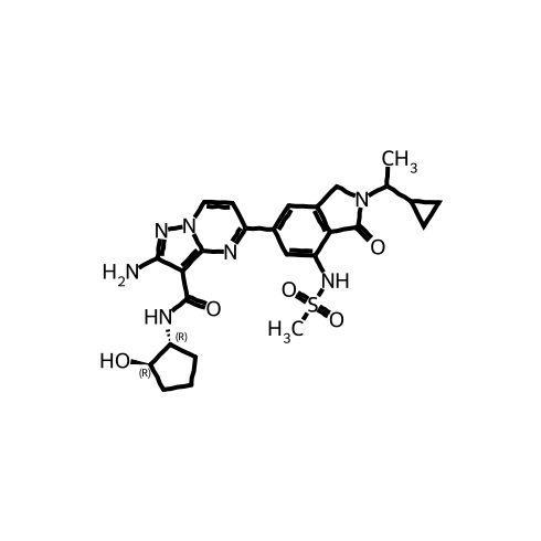 CC(C1CC1)N1Cc2cc(-c3ccn4nc(N)c(C(=O)N[C@@H]5CCC[C@H]5O)c4n3)cc(NS(C)(=O)=O)c2C1=O